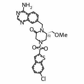 COC[C@@H]1CN(S(=O)(=O)c2cc3ccc(Cl)cc3s2)CC(=O)N1Cc1ccc2c(N)ncnc2c1